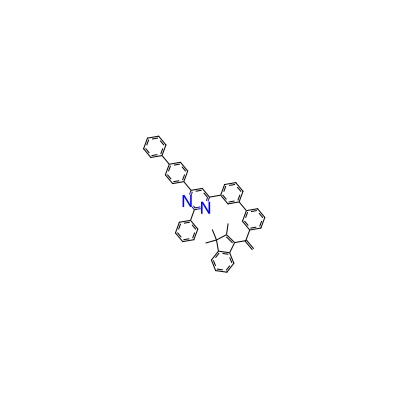 C=C(C1=C(C)C(C)(C)c2ccccc21)c1cccc(-c2cccc(-c3cc(-c4ccc(-c5ccccc5)cc4)nc(-c4ccccc4)n3)c2)c1